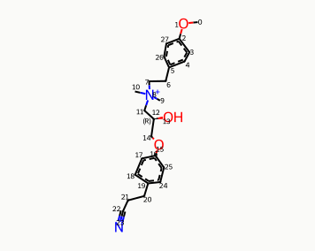 COc1ccc(CC[N+](C)(C)C[C@@H](O)COc2ccc(CCC#N)cc2)cc1